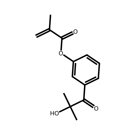 C=C(C)C(=O)Oc1cccc(C(=O)C(C)(C)O)c1